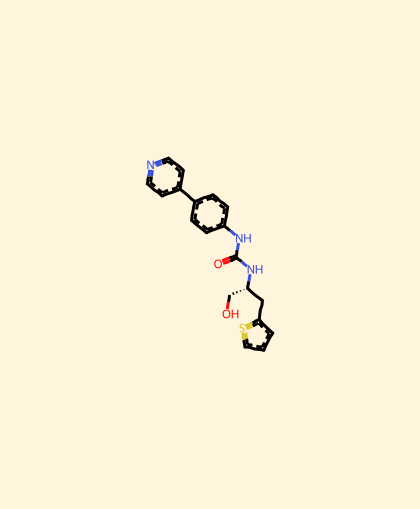 O=C(Nc1ccc(-c2ccncc2)cc1)N[C@@H](CO)Cc1cccs1